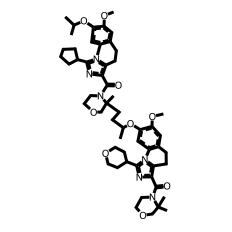 COc1cc2c(cc1OC(C)C)-n1c(C3CCCC3)nc(C(=O)N3CCOCC3(C)CCC(C)Oc3cc4c(cc3OC)CCc3c(C(=O)N5CCOCC5(C)C)nc(C5CCOCC5)n3-4)c1CC2